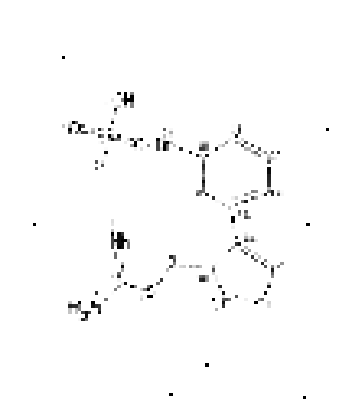 CS(=O)(=O)O.N=C(N)SCC1CCC=C1c1cccc(Br)c1